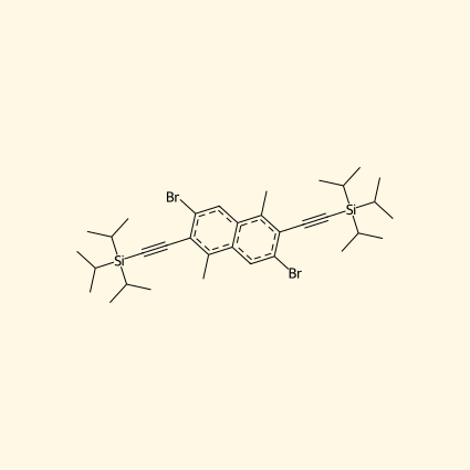 Cc1c(C#C[Si](C(C)C)(C(C)C)C(C)C)c(Br)cc2c(C)c(C#C[Si](C(C)C)(C(C)C)C(C)C)c(Br)cc12